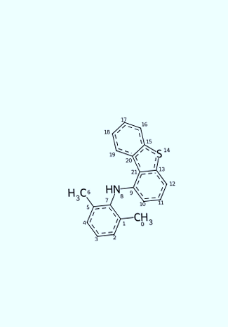 Cc1cccc(C)c1Nc1cccc2sc3ccccc3c12